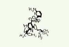 CC(C)(C)CCOc1nc(C(C)(C)C)ccc1C(=O)NS(=O)(=O)c1cccc(N)n1